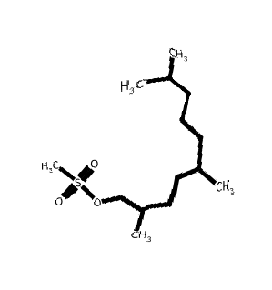 CC(C)CCCC(C)CCC(C)COS(C)(=O)=O